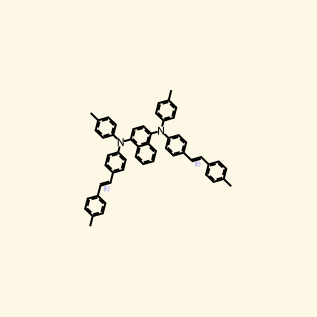 Cc1ccc(/C=C/c2ccc(N(c3ccc(C)cc3)c3ccc(N(c4ccc(C)cc4)c4ccc(/C=C/c5ccc(C)cc5)cc4)c4ccccc34)cc2)cc1